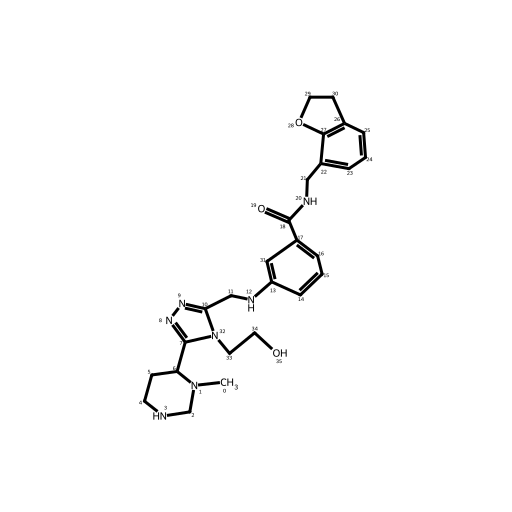 CN1CNCCC1c1nnc(CNc2cccc(C(=O)NCc3cccc4c3OCC4)c2)n1CCO